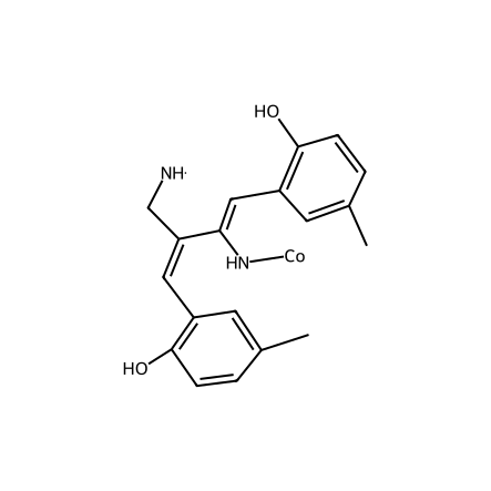 Cc1ccc(O)c(C=C(C[NH])C(=Cc2cc(C)ccc2O)[NH][Co])c1